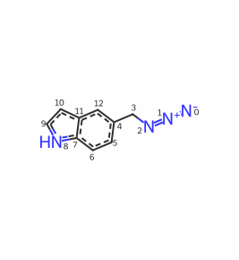 [N-]=[N+]=NCc1ccc2[nH]ccc2c1